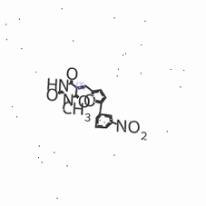 CN1C(=O)NC(=O)/C(=C/c2ccc(-c3cccc([N+](=O)[O-])c3)o2)C1=O